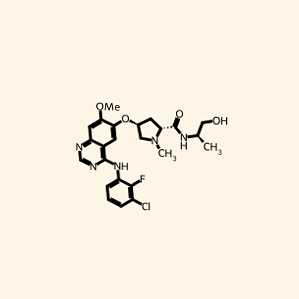 COc1cc2ncnc(Nc3cccc(Cl)c3F)c2cc1O[C@H]1C[C@H](C(=O)N[C@H](C)CO)N(C)C1